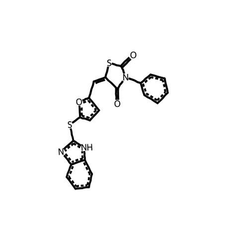 O=C1SC(=Cc2ccc(Sc3nc4ccccc4[nH]3)o2)C(=O)N1c1ccccc1